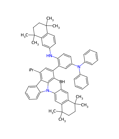 CC(C)c1cc(-c2cc(N(c3ccccc3)c3ccccc3)ccc2Nc2ccc3c(c2)C(C)(C)CCC3(C)C)c2c3c1c1ccccc1n3-c1cc3c(cc1B2)C(C)(C)CCC3(C)C